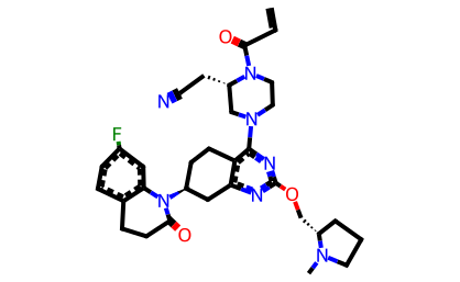 C=CC(=O)N1CCN(c2nc(OC[C@@H]3CCCN3C)nc3c2CC[C@H](N2C(=O)CCc4ccc(F)cc42)C3)C[C@@H]1CC#N